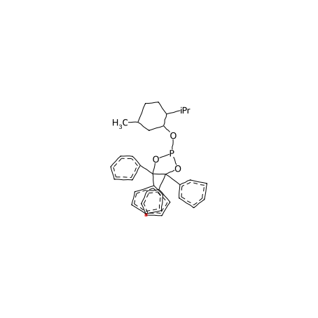 CC1CCC(C(C)C)C(OP2OC(c3ccccc3)(c3ccccc3)C(c3ccccc3)(c3ccccc3)O2)C1